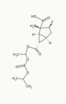 CC(C)OC(=O)OC(C)OC(=O)[C@H]1[C@@H]2C[C@H](F)[C@@](N)(C(=O)O)[C@@H]21